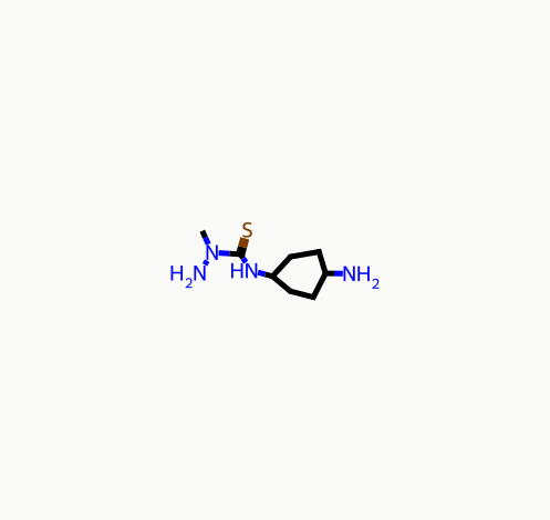 CN(N)C(=S)NC1CCC(N)CC1